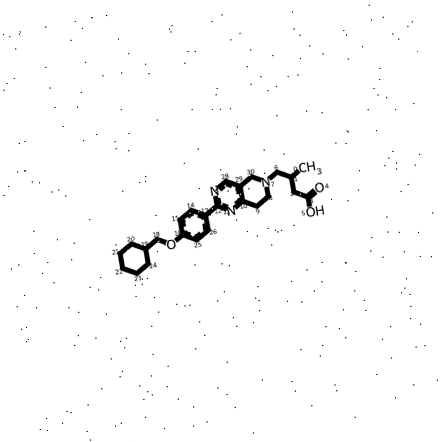 CC(CC(=O)O)CN1CCc2nc(-c3ccc(OCC4CCCCC4)cc3)ncc2C1